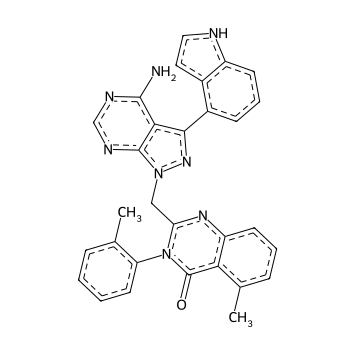 Cc1ccccc1-n1c(Cn2nc(-c3cccc4[nH]ccc34)c3c(N)ncnc32)nc2cccc(C)c2c1=O